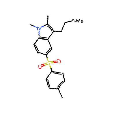 CNCCc1c(C)n(C)c2ccc(S(=O)(=O)c3ccc(C)cc3)cc12